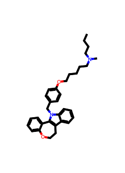 CCCCN(C)CCCCCOc1ccc(Cn2c3c(c4ccccc42)CCOc2ccccc2-3)cc1